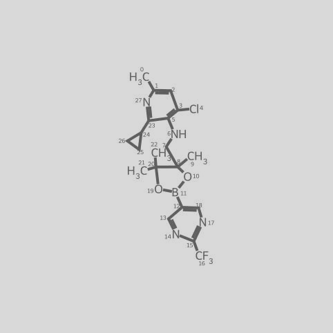 Cc1cc(Cl)c(NCC2(C)OB(c3cnc(C(F)(F)F)nc3)OC2(C)C)c(C2CC2)n1